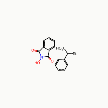 CCC(C(=O)O)c1ccccc1.O=C1c2ccccc2C(=O)N1O